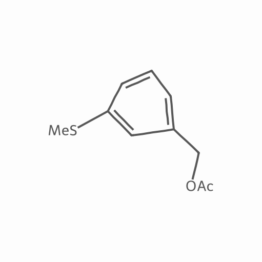 CSc1cccc(COC(C)=O)c1